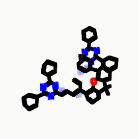 C=C/C(=C\C=C\c1nc(-c2ccccc2)nc(-c2ccccc2)n1)c1cccc2c1Oc1c(C(/C=C\Cc3nc(-c4ccccc4)nc(-c4ccccc4)n3)=C/CC)cccc1C2(C)C